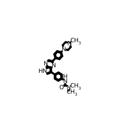 CN1CCN(c2ccc(-c3cnc4[nH]cc(-c5ccc(NC(=O)N(C)C)cc5)c4n3)cc2)CC1